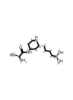 CC(C)(C)[C@H](N)C(=O)N[C@H]1CCN[C@H](CCCCB(O)O)C1